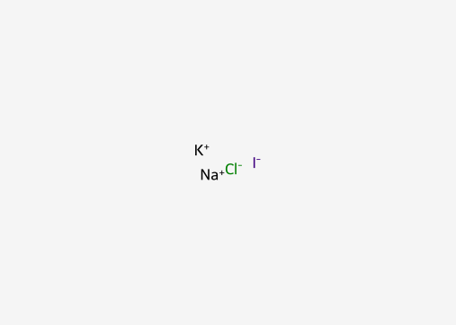 [Cl-].[I-].[K+].[Na+]